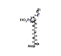 CCO/C=C\C[C@@H](/C=C(\N)C(=O)OCC)OCCOCCOCCOCCC(=O)OC